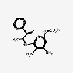 CCOC(=O)Nc1cc(N)c([N+](=O)[O-])c(NC(C)C(=O)c2ccccc2)n1